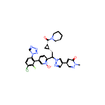 Cn1ncc(-c2cnn(C(C[C@@H]3C[C@@H]3C(=O)N3CCCCC3)c3ccc(-c4c(-n5cnnn5)ccc(Cl)c4F)c[n+]3[O-])c2)cc1=O